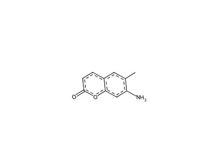 Cc1cc2ccc(=O)oc2cc1N